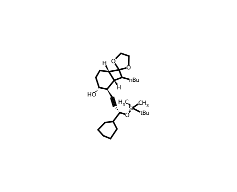 CCCCC1[C@@H]2[C@@H](C#C[C@H](O[Si](C)(C)C(C)(C)C)C3CCCCC3)[C@H](O)CC[C@@H]2C12OCCO2